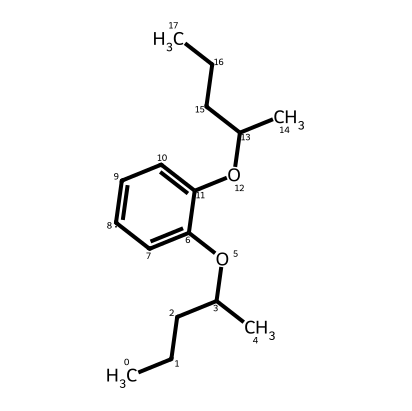 CCCC(C)Oc1c[c]ccc1OC(C)CCC